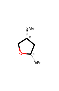 CCC[C@H]1C[C@@H](SC)CO1